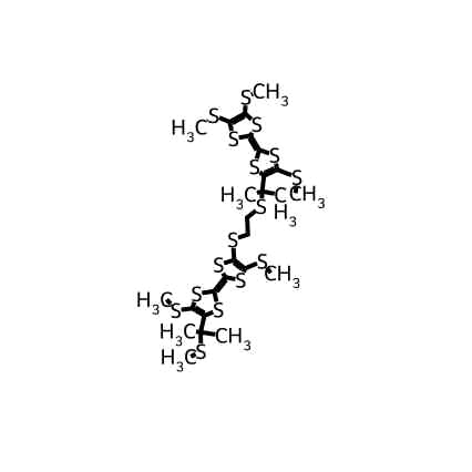 CSC1=C(SC)SC(=C2SC(SC)=C(C(C)(C)SCCSC3=C(SC)S/C(=C4/SC(SC)=C(C(C)(C)SC)S4)S3)S2)S1